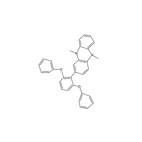 CN1c2ccccc2N(C)c2cc(-c3c(Oc4ccccc4)cccc3Oc3ccccc3)ccc21